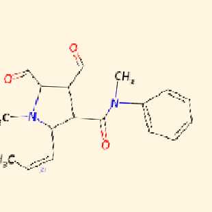 C/C=C\C1C(C(=O)N(C)c2ccccc2)C(C=O)C(C=O)N1C